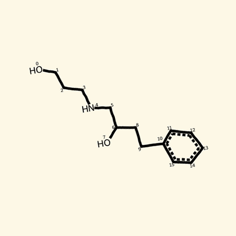 OCCCNCC(O)CCc1ccccc1